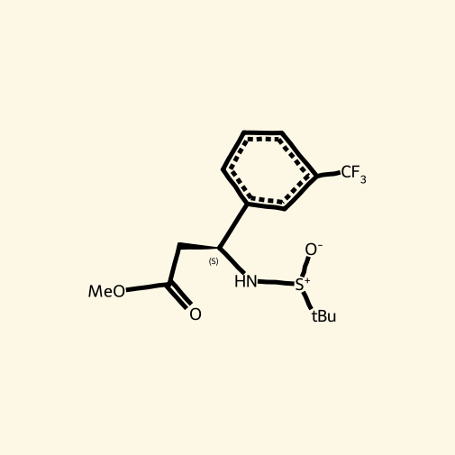 COC(=O)C[C@H](N[S+]([O-])C(C)(C)C)c1cccc(C(F)(F)F)c1